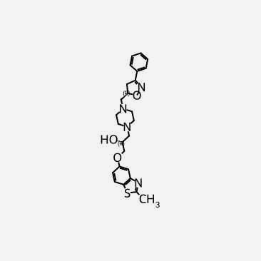 Cc1nc2cc(OC[C@H](O)CN3CCN(C[C@H]4CC(c5ccccc5)=NO4)CC3)ccc2s1